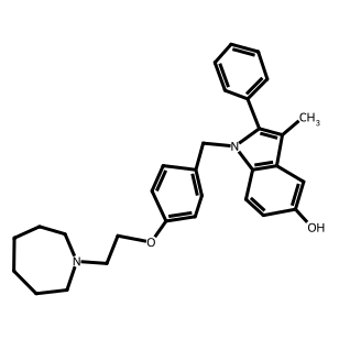 Cc1c(-c2ccccc2)n(Cc2ccc(OCCN3CCCCCC3)cc2)c2ccc(O)cc12